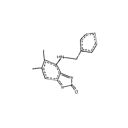 Cc1cc2c(c(N[CH]c3ccccc3)c1C)=NC(=O)N=2